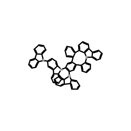 c1ccc2c(c1)c1cc(-n3c4ccccc4c4cc(-n5c6ccccc6c6ccccc65)ccc43)c(-n3c4ccccc4c4ccccc43)cc1c1ccccc1n1c3ccccc3c3cccc2c31